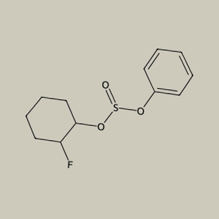 O=S(Oc1ccccc1)OC1CCCCC1F